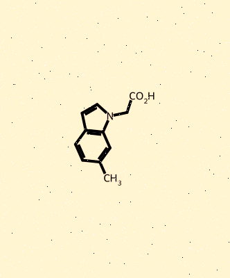 Cc1ccc2ccn(CC(=O)O)c2c1